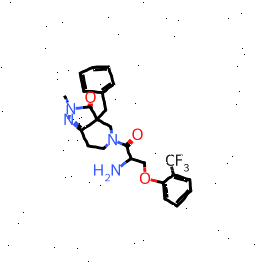 CN1N=C2CCN(C(=O)C(N)COc3ccccc3C(F)(F)F)CC2(Cc2ccccc2)C1=O